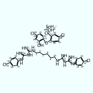 CO.N=C(NCCCCCCNC(=N)NC(=N)Nc1ccc(Cl)cc1)NC(=N)Nc1ccc(Cl)cc1.Oc1cc(Cl)ccc1Oc1ccc(Cl)cc1Cl.[SnH2]